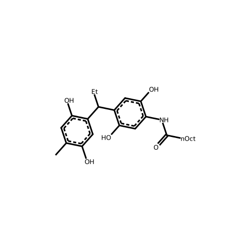 CCCCCCCCC(=O)Nc1cc(O)c(C(CC)c2cc(O)c(C)cc2O)cc1O